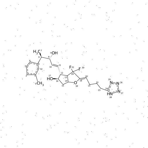 Cc1cccc([C@@H](C)[C@H](O)/C=C/[C@@H]2C3C(C[C@H]2O)O/C(=C\CCCc2nnn[nH]2)C3(F)F)c1